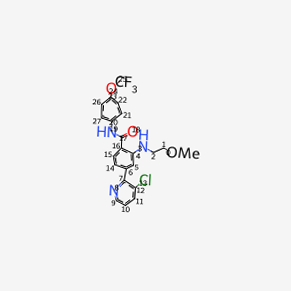 COCCNc1cc(-c2ncccc2Cl)ccc1C(=O)Nc1ccc(OC(F)(F)F)cc1